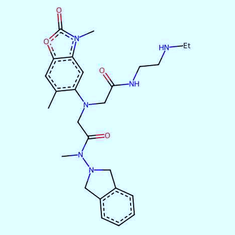 CCNCCNC(=O)CN(CC(=O)N(C)N1Cc2ccccc2C1)c1cc2c(cc1C)oc(=O)n2C